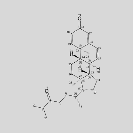 CC(C)C(=O)CC[C@@H](C)[C@H]1CC[C@H]2[C@@H]3C=CC4=CC(=O)C=C[C@]4(C)[C@H]3CC[C@]12C